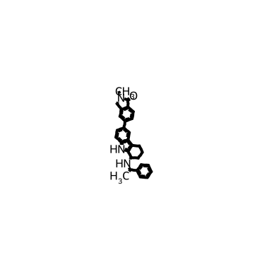 CC(NC1CCCc2c1[nH]c1ccc(-c3ccc4c(c3)CN(C)C4=O)cc21)c1ccccc1